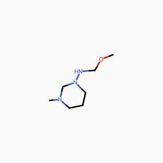 COCNN1CCCN(C)C1